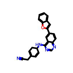 N#CCC1=CCC(Nc2ncnc3ccc(-c4cc5ccccc5o4)cc23)C=C1